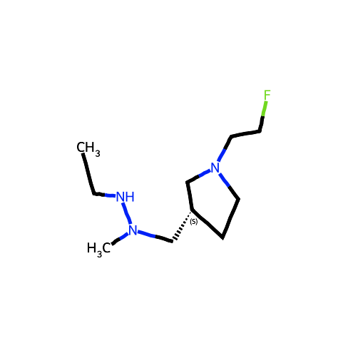 CCNN(C)C[C@H]1CCN(CCF)C1